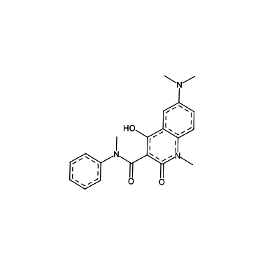 CN(C)c1ccc2c(c1)c(O)c(C(=O)N(C)c1ccccc1)c(=O)n2C